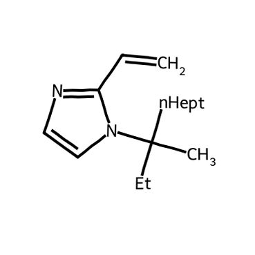 C=Cc1nccn1C(C)(CC)CCCCCCC